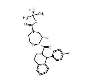 CC(C)(C)OC(=O)N1CCO[C@@H](C(=O)N2CCc3ccccc3[C@@H]2c2ccc(F)cc2)[C@@H](F)C1